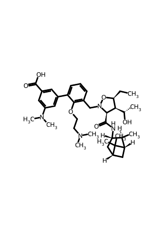 CC[C@@H]1ON(Cc2cccc(-c3cc(C(=O)O)cc(N(C)C)c3)c2OCCN(C)C)[C@H](C(=O)N[C@H]2C[C@H]3C[C@@H]([C@@H]2C)C3(C)C)[C@@H]1[C@H](C)O